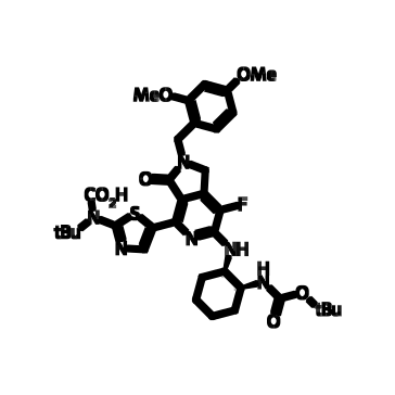 COc1ccc(CN2Cc3c(F)c(N[C@@H]4CCCC[C@@H]4NC(=O)OC(C)(C)C)nc(-c4cnc(N(C(=O)O)C(C)(C)C)s4)c3C2=O)c(OC)c1